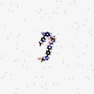 CO[C@@]1(C(=O)Nc2ccc3[nH]nc(-c4ccc(OC(C)C)nc4)c3c2)CCN(CC(=O)N2CC=C(c3ccc(-c4ncn(CC(C)(C)O)n4)cc3)CC2)C1